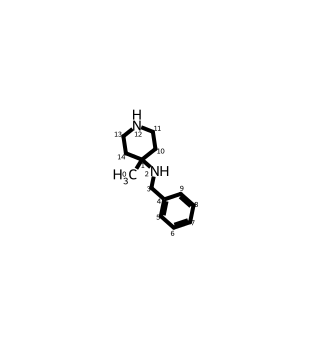 CC1(NCc2ccccc2)CCNCC1